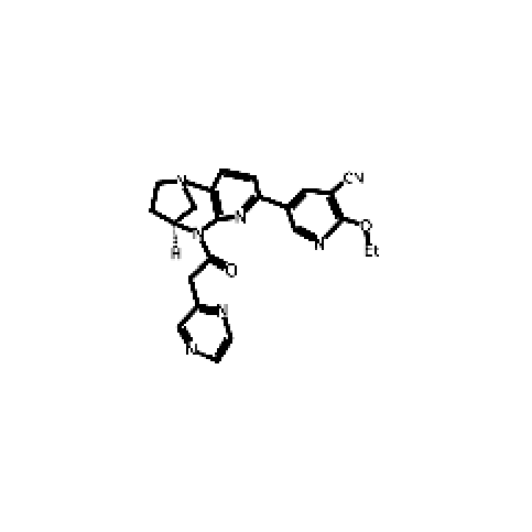 CCOc1ncc(-c2ccc3c(n2)N(C(=O)Cc2cnccn2)[C@H]2CCN3C2)cc1C#N